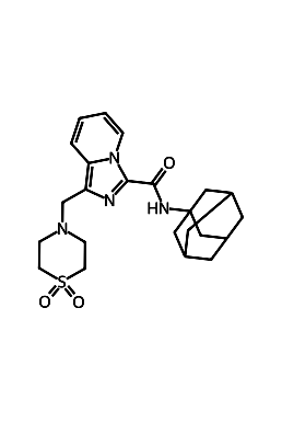 O=C(NC12CC3CC(CC(C3)C1)C2)c1nc(CN2CCS(=O)(=O)CC2)c2ccccn12